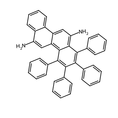 Nc1cc2c(cc(N)c3c(-c4ccccc4)c(-c4ccccc4)c(-c4ccccc4)c(-c4ccccc4)c32)c2ccccc12